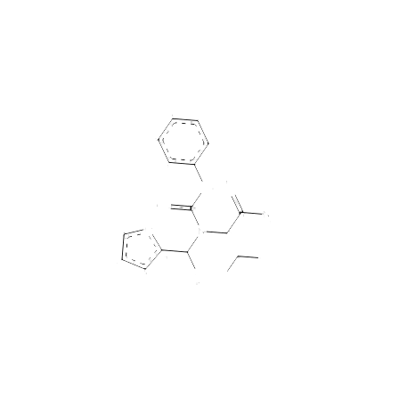 CC(C)[C@@H](C(N)=O)N(C(=O)Oc1ccccc1)C(C)c1ccco1